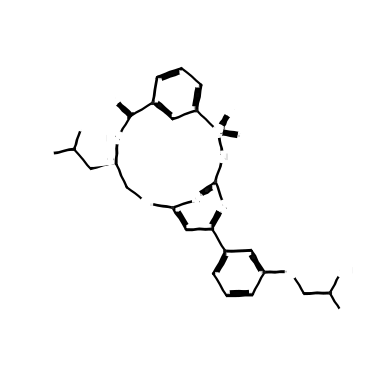 CC(C)COc1cccc(-c2cc3nc(n2)NS(=O)(=O)c2cccc(c2)C(=O)N[C@H](CC(C)C)CO3)c1